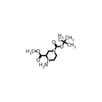 COC(=O)C1CN(C(=O)OC(C)(C)C)CCN1N